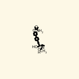 CC(O)c1nccn1C(C#Cc1ccc(-c2ccc(O[C@@H]3COC[C@H]3N)cc2)cc1)CO